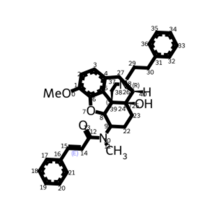 COc1ccc2c3c1OC1C(N(C)C(=O)/C=C/c4ccccc4)CC[C@@]4(O)[C@@H](C2)N(CCc2ccccc2)CC[C@]314